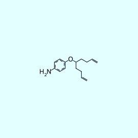 C=CCCC(CCC=C)Oc1ccc(N)cc1